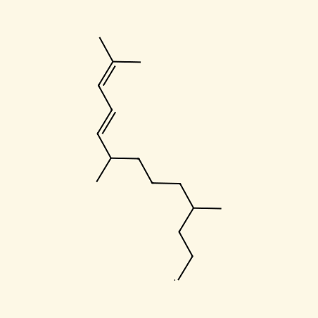 [CH2]CCC(C)CCCC(C)/C=C/C=C(C)C